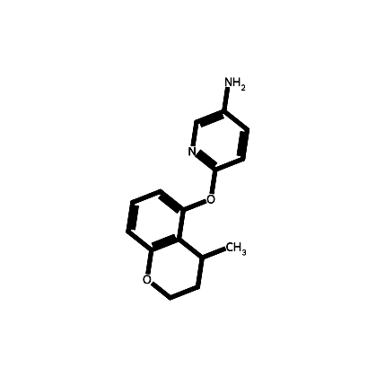 CC1CCOc2cccc(Oc3ccc(N)cn3)c21